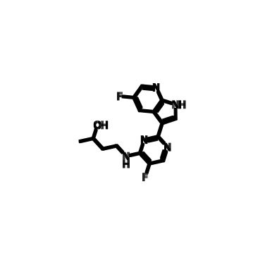 CC(O)CCNc1nc(-c2c[nH]c3ncc(F)cc23)ncc1F